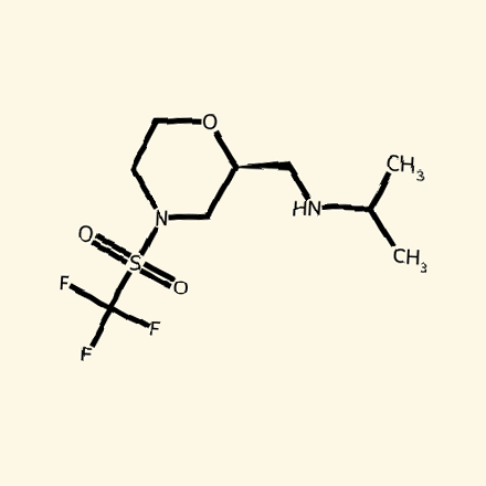 CC(C)NC[C@H]1CN(S(=O)(=O)C(F)(F)F)CCO1